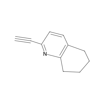 C#Cc1ccc2c(n1)CCCC2